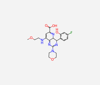 COCCNC1=CC(C(=O)O)=NC2C1=NC(N1CCOCC1)=NC2c1ccc(F)cc1O